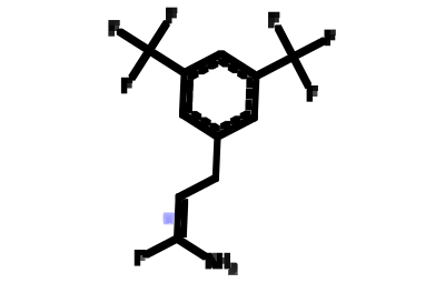 N/C(F)=C\Cc1cc(C(F)(F)F)cc(C(F)(F)F)c1